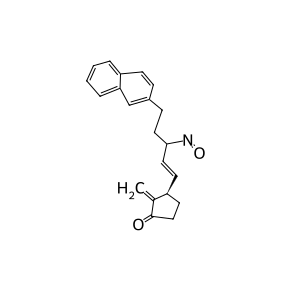 C=C1C(=O)CC[C@@H]1/C=C/C(CCc1ccc2ccccc2c1)N=O